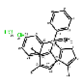 CC1=CC[C]([Zr](=[SiH2])([C]2=C(C)C(C)=CC2)([c]2ccccc2)[c]2ccccc2)=C1C.Cl.Cl